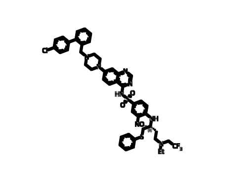 CCN(CC[C@H](CSc1ccccc1)Nc1ccc(S(=O)(=O)Nc2ncnc3cc(N4CCN(Cc5ccccc5-c5ccc(Cl)cc5)CC4)ccc23)cc1[N+](=O)[O-])CC(F)(F)F